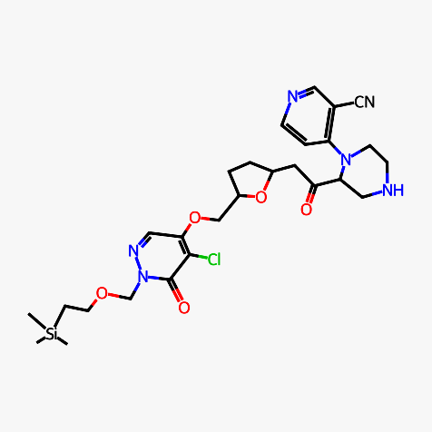 C[Si](C)(C)CCOCn1ncc(OCC2CCC(CC(=O)C3CNCCN3c3ccncc3C#N)O2)c(Cl)c1=O